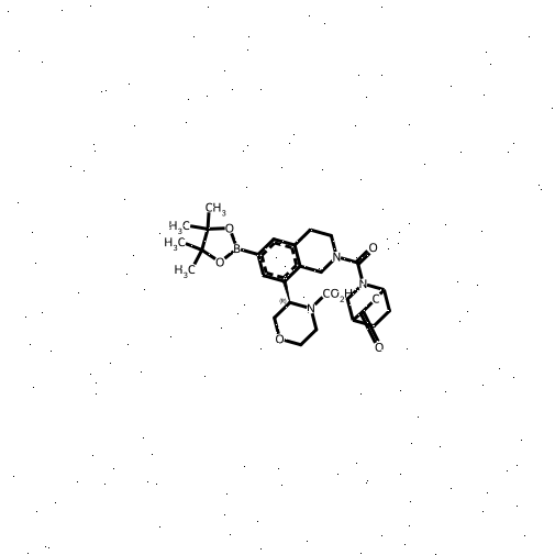 CC1(C)OB(c2cc3c(c([C@@H]4COCCN4C(=O)O)c2)CN(C(=O)N2CC4CCC2CC4=O)CC3)OC1(C)C